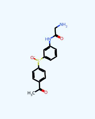 CC(=O)c1ccc([S+]([O-])c2cccc(NC(=O)CN)c2)cc1